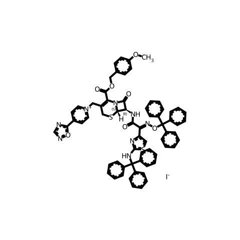 COc1ccc(COC(=O)C2=C(C[n+]3ccc(-c4ncno4)cc3)CS[C@H]3[C@H](NC(=O)C(=NOC(c4ccccc4)(c4ccccc4)c4ccccc4)c4csc(NC(c5ccccc5)(c5ccccc5)c5ccccc5)n4)C(=O)N23)cc1.[I-]